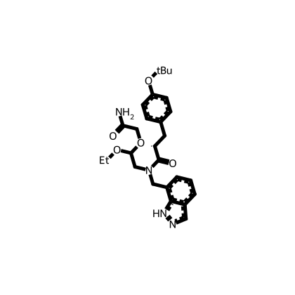 CCOC(CN(Cc1cccc2cn[nH]c12)C(=O)[CH]Cc1ccc(OC(C)(C)C)cc1)OCC(N)=O